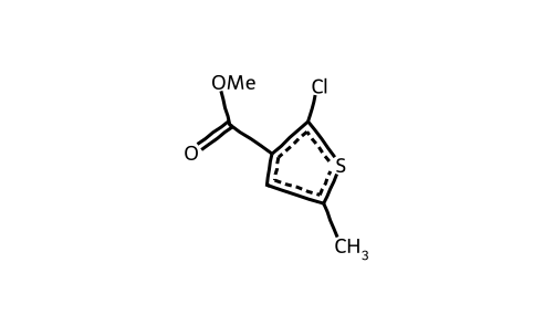 COC(=O)c1cc(C)sc1Cl